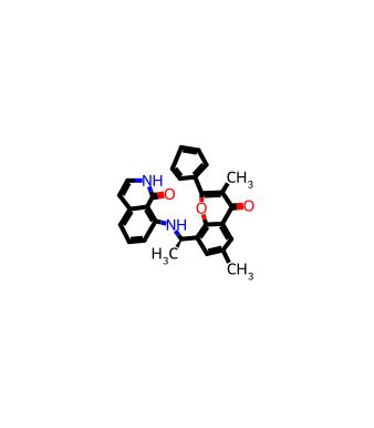 Cc1cc([C@@H](C)Nc2cccc3cc[nH]c(=O)c23)c2oc(-c3ccccc3)c(C)c(=O)c2c1